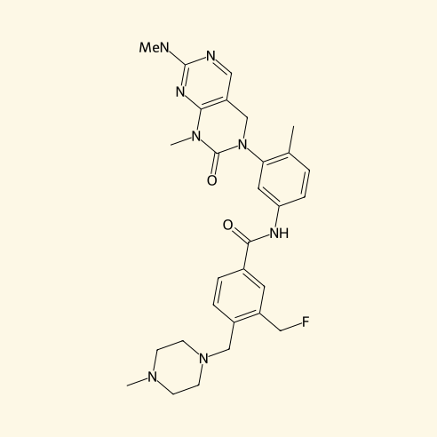 CNc1ncc2c(n1)N(C)C(=O)N(c1cc(NC(=O)c3ccc(CN4CCN(C)CC4)c(CF)c3)ccc1C)C2